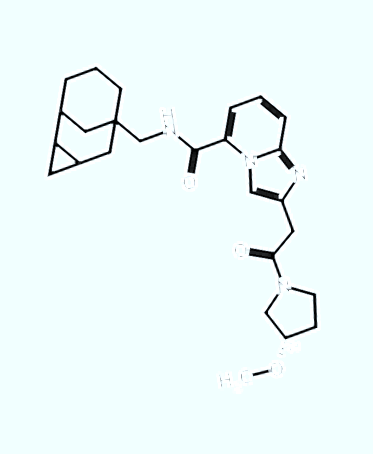 CO[C@H]1CCN(C(=O)Cc2cn3c(C(=O)NCC45CCCC(C4)C4CC4C5)cccc3n2)C1